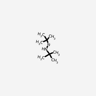 CC(C)(C)[N]NC(C)(C)C